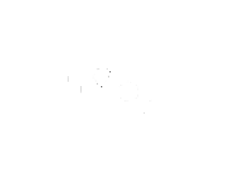 COC(=O)c1ccc(-c2nc(C(F)(F)F)cn2C)cc1Br